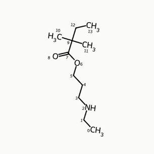 CCNCCCOC(=O)C(C)(C)CC